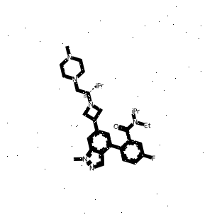 CCN(C(=O)c1cc(F)ccc1-c1cc(C2CN([C@H](CN3CCN(C)CC3)C(C)C)C2)cc2c1cnn2C)C(C)C